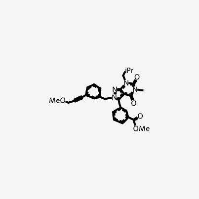 COCC#Cc1cccc(Cn2nc3c(c2-c2cccc(C(=O)OC)c2)c(=O)n(C)c(=O)n3CC(C)C)c1